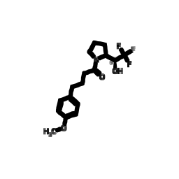 COc1ccc(CCCC(=O)N2CCCC2[C@H](O)C(F)(F)F)cc1